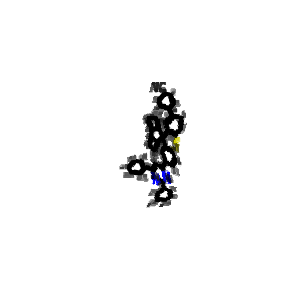 N#Cc1ccc(-c2ccc3c(c2)C2(c4cc(-c5cc(-c6ccccc6)nc(-c6ccccc6)n5)ccc4S3)c3ccccc3-c3ccccc32)cc1